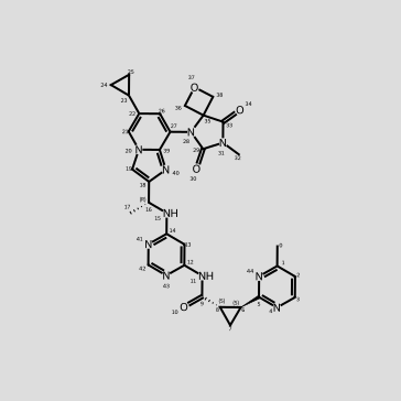 Cc1ccnc([C@H]2C[C@@H]2C(=O)Nc2cc(N[C@H](C)c3cn4cc(C5CC5)cc(N5C(=O)N(C)C(=O)C56COC6)c4n3)ncn2)n1